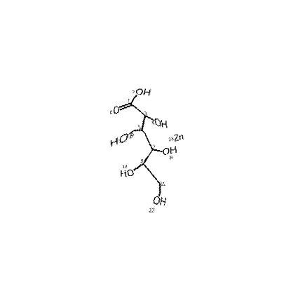 O=C(O)C(O)C(O)C(O)C(O)CO.[Zn]